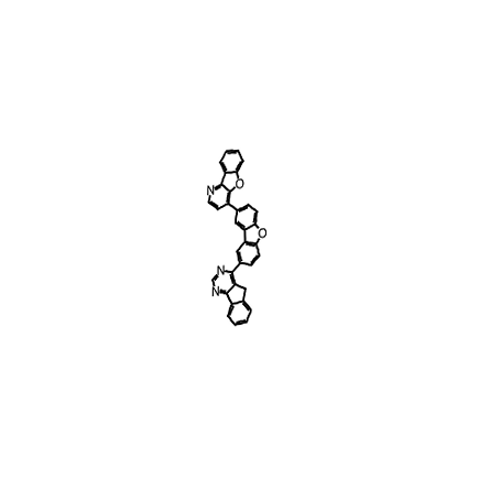 c1ccc2c(c1)Cc1c(-c3ccc4oc5ccc(-c6ccnc7c6oc6ccccc67)cc5c4c3)ncnc1-2